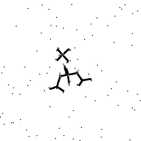 CC(C)OP(=S)([S-])OC(C)C.C[N+](C)(C)C